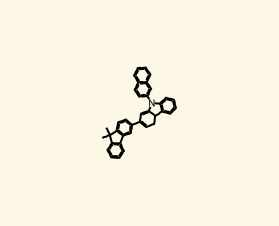 CC1(C)c2ccccc2-c2cc(C3=CCC4C(=C3)N(c3ccc5ccccc5c3)c3ccccc34)ccc21